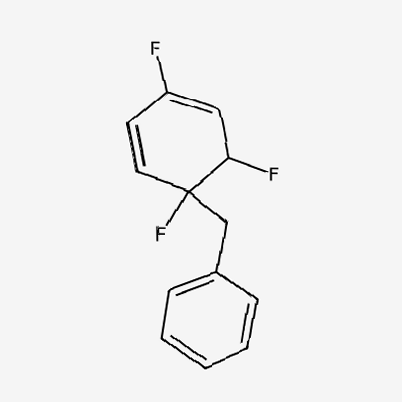 FC1=CC(F)C(F)(Cc2ccccc2)C=C1